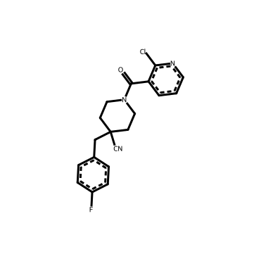 N#CC1(Cc2ccc(F)cc2)CCN(C(=O)c2cccnc2Cl)CC1